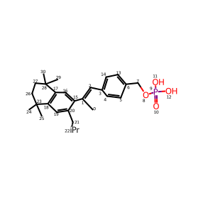 CC(=Cc1ccc(COP(=O)(O)O)cc1)c1cc2c(cc1CC(C)C)C(C)(C)CCC2(C)C